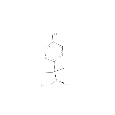 CC(C)(c1ccc(O)cc1)[C@H](N)C(=O)O